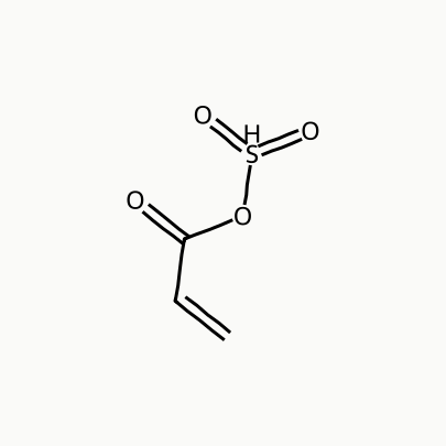 C=CC(=O)O[SH](=O)=O